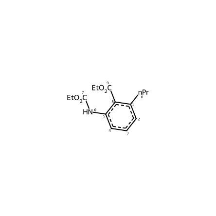 CCCc1cccc(NC(=O)OCC)c1C(=O)OCC